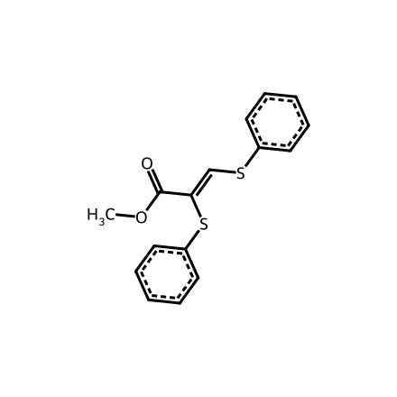 COC(=O)C(=CSc1ccccc1)Sc1ccccc1